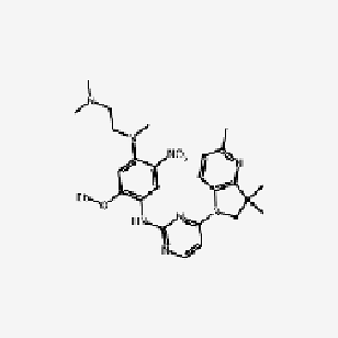 CCOc1cc(N(C)CCN(C)C)c([N+](=O)[O-])cc1Nc1nccc(N2CC(C)(C)c3nc(C)ccc32)n1